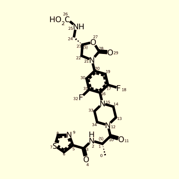 C[C@H](NC(=O)c1cscn1)C(=O)N1CCN(c2c(F)cc(N3C[C@H](CNC(=O)O)OC3=O)cc2F)CC1